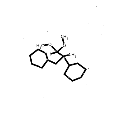 COC(I)(OC)C(C)(CC1CCCCC1)C1CCCCC1